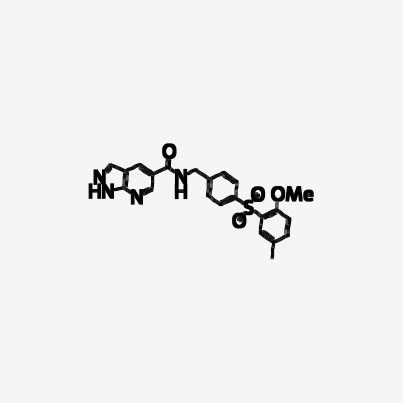 COc1ccc(C)cc1S(=O)(=O)c1ccc(CNC(=O)c2cnc3[nH]ncc3c2)cc1